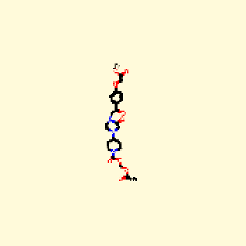 CC(C)OC(=O)COc1ccc(C(=O)CN2CCN(C3CCN(C(=O)OCOC(=O)C(C)(C)C)CC3)CC2=O)cc1